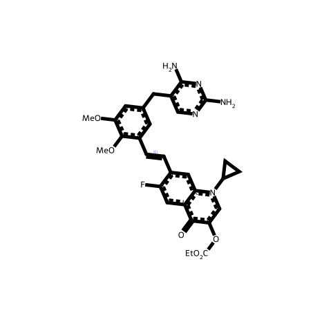 CCOC(=O)Oc1cn(C2CC2)c2cc(/C=C/c3cc(Cc4cnc(N)nc4N)cc(OC)c3OC)c(F)cc2c1=O